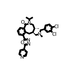 CC(C)N1C[C@H](C)[C@@H](CN(C)Cc2ccc(Cl)c(Cl)c2)Cc2c(cccc2-c2nnc(-c3ccncc3)o2)C1=O